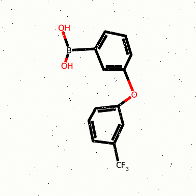 OB(O)c1cccc(Oc2cccc(C(F)(F)F)c2)c1